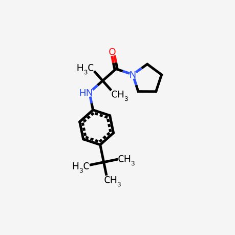 CC(C)(Nc1ccc(C(C)(C)C)cc1)C(=O)N1CCCC1